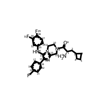 N[C@@H](CC1CCC1)C(=O)N1CCn2c(nc(-c3ccc(F)cc3)c2Nc2ccc(F)c(F)c2)C1